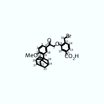 COc1ccc(C(=O)COc2cc(C(=O)O)ccc2CBr)cc1C12CC3CC(CC(C3)C1)C2